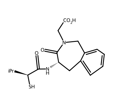 CC(C)[C@H](S)C(=O)N[C@H]1Cc2ccccc2CN(CC(=O)O)C1=O